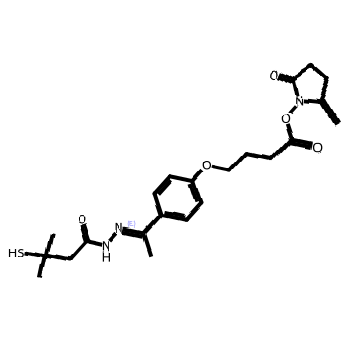 C=C1CCC(=O)N1OC(=O)CCCOc1ccc(/C(C)=N/NC(=O)CC(C)(C)S)cc1